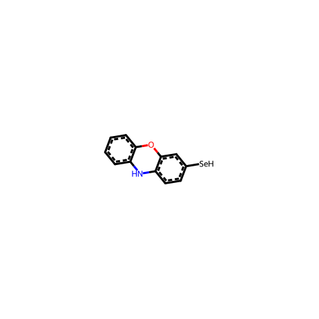 [SeH]c1ccc2c(c1)Oc1ccccc1N2